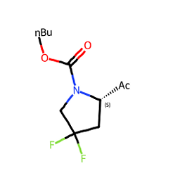 CCCCOC(=O)N1CC(F)(F)C[C@H]1C(C)=O